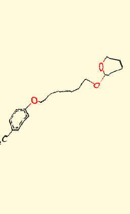 O=C(O)c1ccc(OCCCCCCOC2CCCCO2)cc1